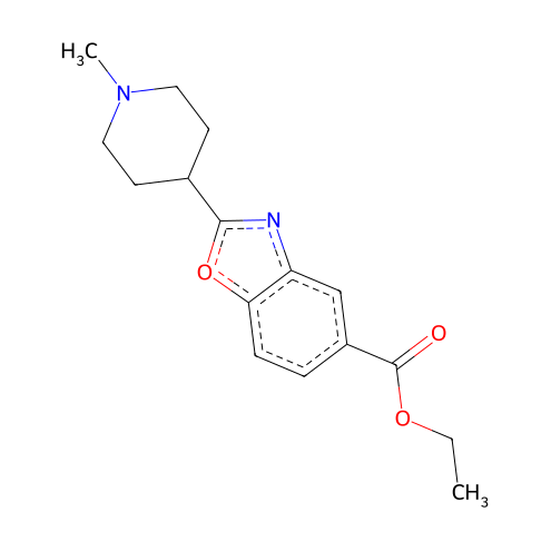 CCOC(=O)c1ccc2oc(C3CCN(C)CC3)nc2c1